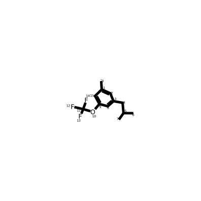 [CH2]c1cc(CC(C)C)cc(OC(F)(F)F)c1